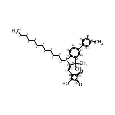 CCCCCCCCCCCCN1/C(=C/c2c(O)c(=O)c2=O)C(C)(C)c2cc(-c3ccc(C)s3)ccc21